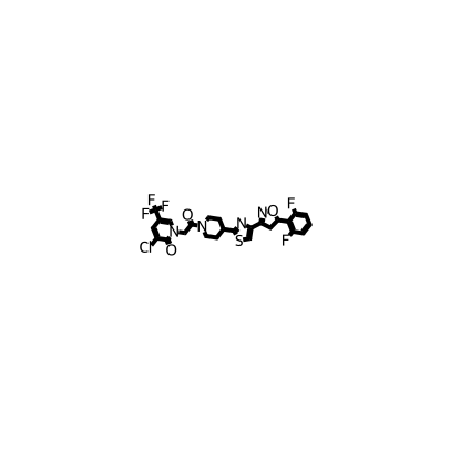 O=C(Cn1cc(C(F)(F)F)cc(Cl)c1=O)N1CCC(c2nc(C3=NOC(c4c(F)cccc4F)C3)cs2)CC1